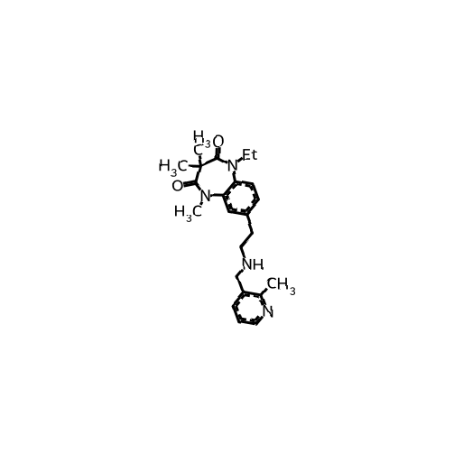 CCN1C(=O)C(C)(C)C(=O)N(C)c2cc(CCNCc3cccnc3C)ccc21